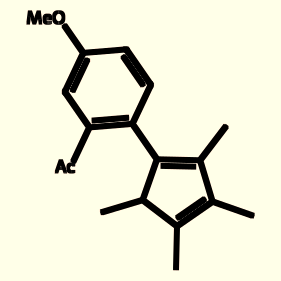 COc1ccc(C2=C(C)C(C)=C(C)C2C)c(C(C)=O)c1